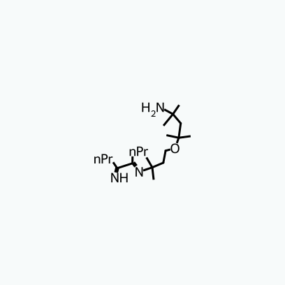 CCCC(=N)/C(CCC)=N/C(C)(C)CCOC(C)(C)CC(C)(C)N